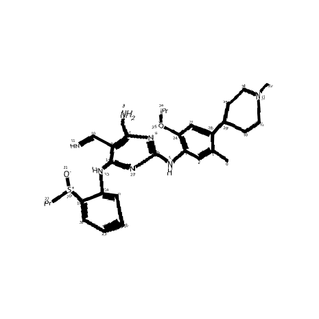 Cc1cc(Nc2nc(N)c(C=N)c(Nc3ccccc3[S+]([O-])C(C)C)n2)c(OC(C)C)cc1C1CCN(C)CC1